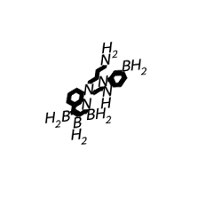 Bc1ccc2[nH]c(CN(CCCCN)[C@H]3CCCc4c3nc(B)c(B)c4B)nc2c1